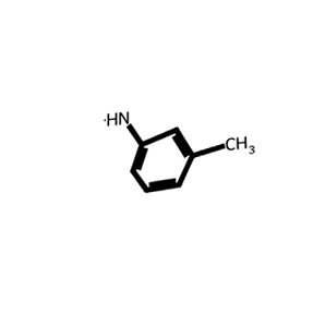 Cc1cccc([NH])c1